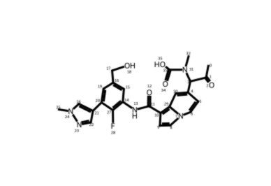 CC(=O)C(c1ccn2ccc(C(=O)Nc3cc(CO)cc(-c4cnn(C)c4)c3F)c2c1)N(C)C(=O)O